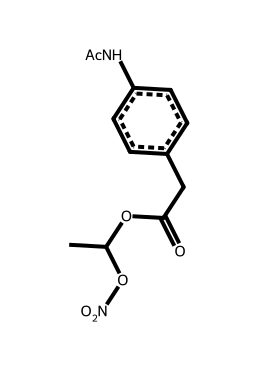 CC(=O)Nc1ccc(CC(=O)OC(C)O[N+](=O)[O-])cc1